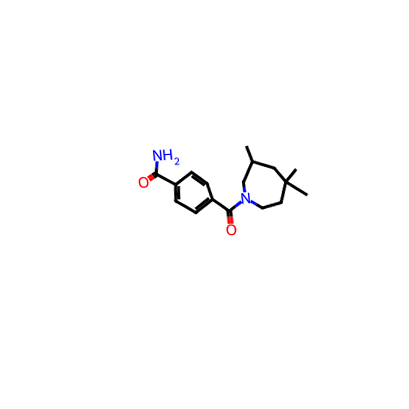 CC1CN(C(=O)c2ccc(C(N)=O)cc2)CCC(C)(C)C1